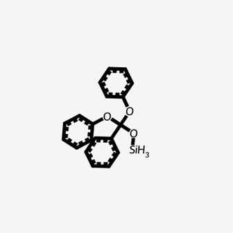 [SiH3]OC(Oc1ccccc1)(Oc1ccccc1)c1ccccc1